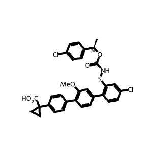 COc1cc(-c2ccc(Cl)cc2SNC(=O)O[C@H](C)c2ccc(Cl)cc2)ccc1-c1ccc(C2(C(=O)O)CC2)cc1